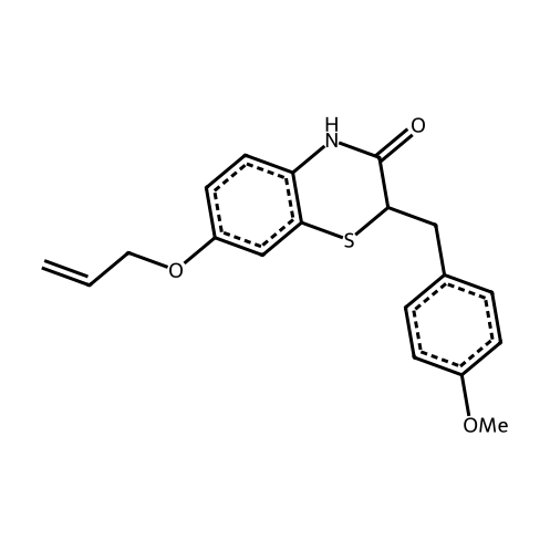 C=CCOc1ccc2c(c1)SC(Cc1ccc(OC)cc1)C(=O)N2